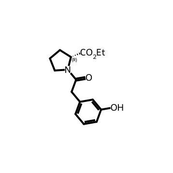 CCOC(=O)[C@H]1CCCN1C(=O)Cc1cccc(O)c1